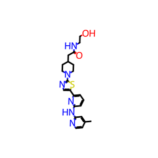 Cc1ccnc(Nc2cccc(-c3cnc(N4CCC(CC(=O)NCCO)CC4)s3)n2)c1